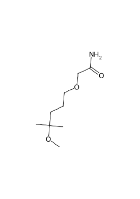 COC(C)(C)CCCOCC(N)=O